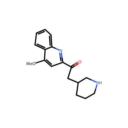 COc1cc(C(=O)CC2CCCNC2)nc2ccccc12